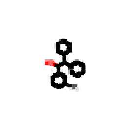 OC(c1cccc(C(F)(F)F)c1)C(c1ccccc1)c1ccccc1